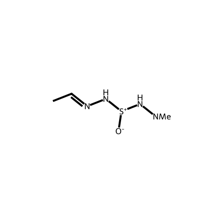 C/C=N/N[S+]([O-])NNC